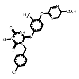 CCn1c(=O)[nH]/c(=N\c2ccc(OC3=NCC(C(=O)O)N=C3)c(C)c2)n(Cc2ccc(Cl)cc2)c1=O